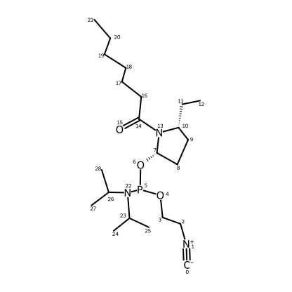 [C-]#[N+]CCOP(O[C@H]1CC[C@@H](CC)N1C(=O)CCCCCC)N(C(C)C)C(C)C